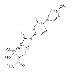 CC(=O)N(C[C@H]1CN(c2ccc(N3C=NN(C)CC3)c(F)c2)C(=O)O1)P(=O)(O)O